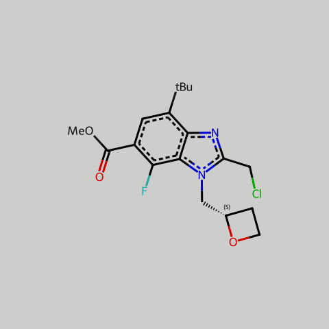 COC(=O)c1cc(C(C)(C)C)c2nc(CCl)n(C[C@@H]3CCO3)c2c1F